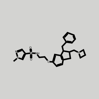 Cn1cc(S(=O)(=O)NCCOc2ccc3c(c2)C(Cc2ccccc2)C(CN2CCC2)C3)cn1